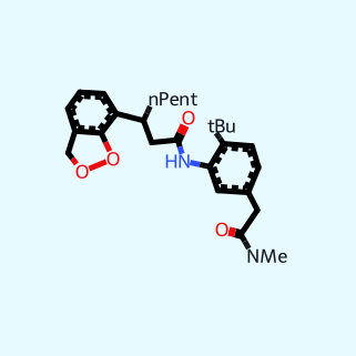 CCCCCC(CC(=O)Nc1cc(CC(=O)NC)ccc1C(C)(C)C)c1cccc2c1OOC2